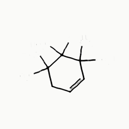 O=C(O)C1(C(=O)O)C=CCC(C(=O)O)(C(=O)O)C1(C(=O)O)C(=O)O